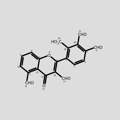 O=Cc1ccc(-c2oc3cccc(C=O)c3c(=O)c2C=O)c(C(=O)O)c1C=O